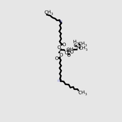 CCCCCC/C=C\CCCCCCCC(=O)O[C@H](COC(=O)CCCCCCC/C=C\CCCCCCCC)COP(=O)(O)OCC[N+](C)(C)C